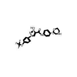 Cl.O=C(Nc1ccc([C@H]2CNCCO2)cc1)c1cn(-c2ccc(OC(F)(F)F)cc2)nn1